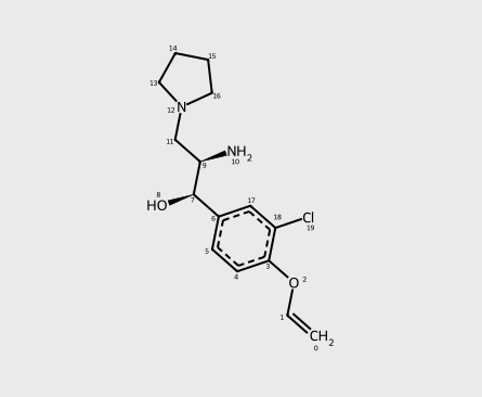 C=COc1ccc([C@@H](O)[C@H](N)CN2CCCC2)cc1Cl